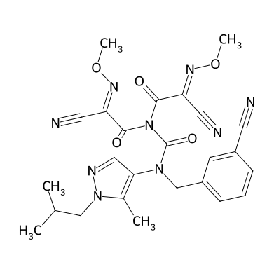 CON=C(C#N)C(=O)N(C(=O)C(C#N)=NOC)C(=O)N(Cc1cccc(C#N)c1)c1cnn(CC(C)C)c1C